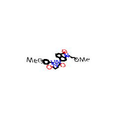 COCCCN1C(=O)c2cccc3c(NC(=O)C4CCC(=O)N4Cc4ccc(OC)cc4)ccc1c23